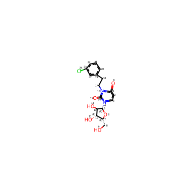 O=c1ccn([C@@H]2O[C@H](CO)[C@H](O)C2O)c(=O)n1CCc1cccc(Cl)c1